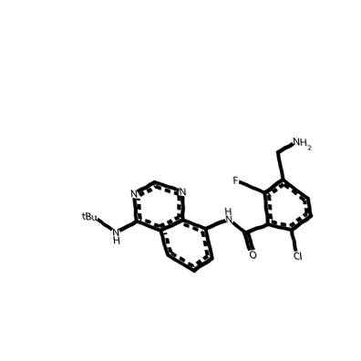 CC(C)(C)Nc1ncnc2c(NC(=O)c3c(Cl)ccc(CN)c3F)cccc12